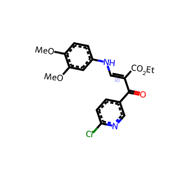 CCOC(=O)/C(=C\Nc1ccc(OC)c(OC)c1)C(=O)c1ccc(Cl)nc1